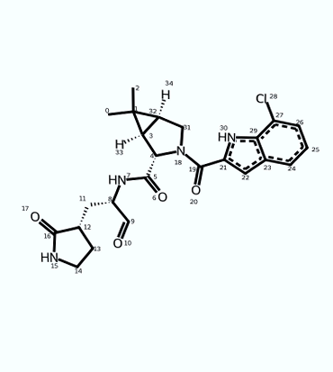 CC1(C)[C@@H]2[C@@H](C(=O)N[C@H](C=O)C[C@@H]3CCNC3=O)N(C(=O)c3cc4cccc(Cl)c4[nH]3)C[C@@H]21